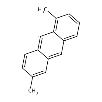 Cc1ccc2[c]c3c(C)cccc3cc2c1